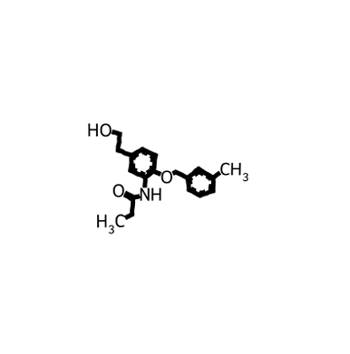 CCC(=O)Nc1cc(CCO)ccc1OCc1cccc(C)c1